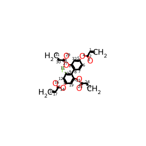 C=CC(=O)Oc1ccc(-c2c(F)cc(OC(=O)C=C)cc2OC(=O)C=C)c(OC(=O)C=C)c1